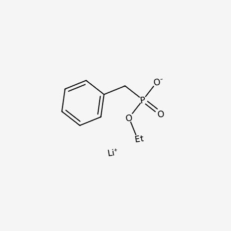 CCOP(=O)([O-])Cc1ccccc1.[Li+]